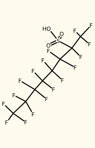 O=S(=O)(O)C(F)(C(F)(F)F)C(F)(F)C(F)(F)C(F)(F)C(F)(F)C(F)(F)C(F)(F)F